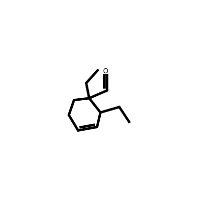 CCC1C=CCCC1(C=O)CC